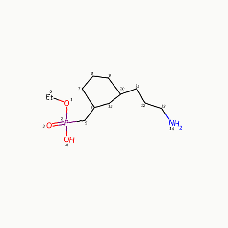 CCOP(=O)(O)CC1CCCC(CCCN)C1